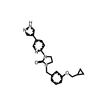 O=C1N(Cc2cccc(OCC3CC3)c2)CCN1c1ccc(-c2cn[nH]c2)cn1